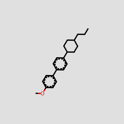 CCCC1CCC(c2ccc(-c3ccc(OC)cc3)cc2)CC1